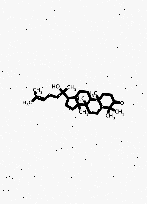 CC(C)=CCCC(C)(O)C1CCC2(C)C1CCC1C3(C)CCC(=O)C(C)(C)C3CCC12C